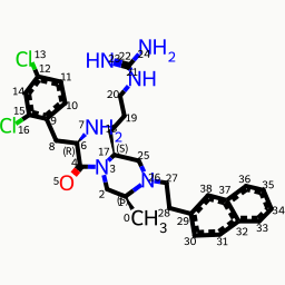 C[C@H]1CN(C(=O)[C@H](N)Cc2ccc(Cl)cc2Cl)[C@@H](CCCNC(=N)N)CN1CCc1ccc2ccccc2c1